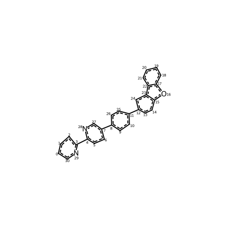 c1ccc(-c2ccc(-c3ccc(-c4ccc5oc6ccccc6c5c4)cc3)cn2)nc1